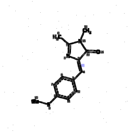 CC1=N/C(=C\c2ccc(SC(C)(C)C)cc2)C(=O)N1C